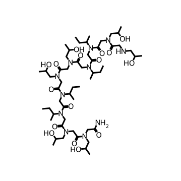 CCC(C)N(CC(=O)N(CC(=O)N(CC(=O)N(CC(=O)N(CC(=O)N(CC(=O)N(CC(N)=O)CC(C)O)CC(C)O)C(C)CC)C(C)CC)CC(C)O)CC(C)O)C(=O)CN(C(=O)CN(CC(C)O)C(=O)CNCC(C)O)C(C)CC